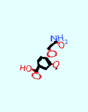 COc1cc(C(=O)O)ccc1OCC(N)=O